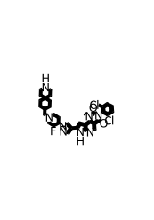 Cn1c(=O)n(-c2c(Cl)cccc2Cl)c(=O)c2cnc3[nH]c(-c4cnn([C@H]5CCN(CC6CCC7(CCNCC7)CC6)C[C@@H]5F)c4)cc3c21